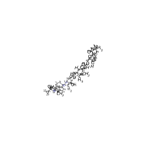 C=C1/C(=C\C=C2/CCC[C@@]3(C)C2CCC3[C@@H](C)/C=C/C(O)C2CC2)CC(OC(=O)NC2CC(C)(C)CC(C)(NC(=O)OCC3OC(n4ccc(N)nc4=O)C(F)(F)C3O)C2)C[C@@H]1O